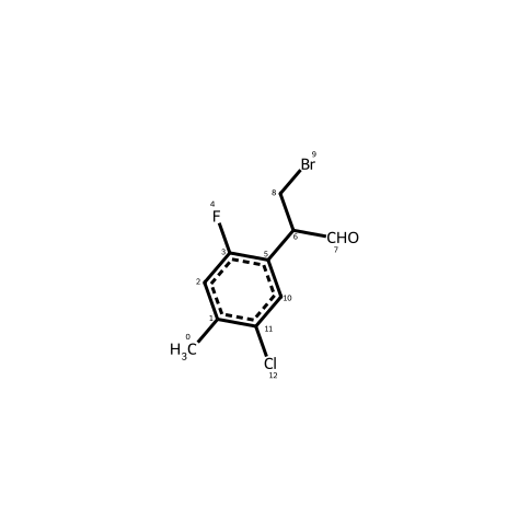 Cc1cc(F)c(C(C=O)CBr)cc1Cl